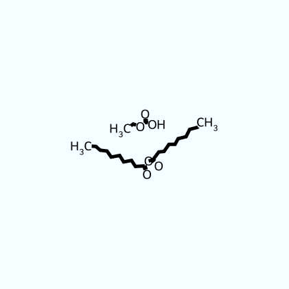 CCCCCCCCCC(=O)OC(=O)CCCCCCCCC.CCOC(=O)O